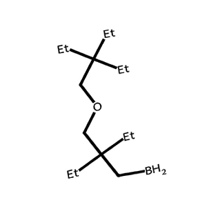 BCC(CC)(CC)COCC(CC)(CC)CC